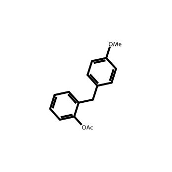 COc1ccc(Cc2ccccc2OC(C)=O)cc1